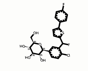 OC[C@H]1O[C@@H](c2ccc(Cl)c(C(F)c3ccc(-c4ccc(F)cc4)s3)c2)[C@H](O)[C@@H](O)[C@@H]1O